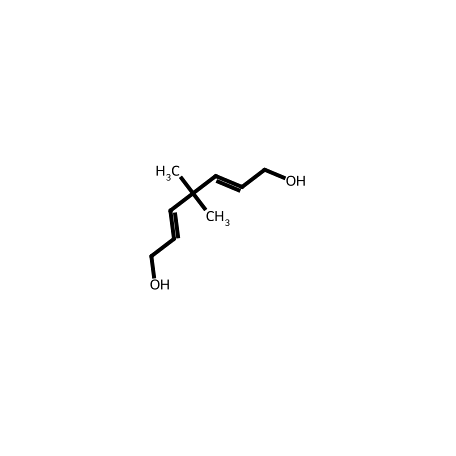 CC(C)(C=CCO)C=CCO